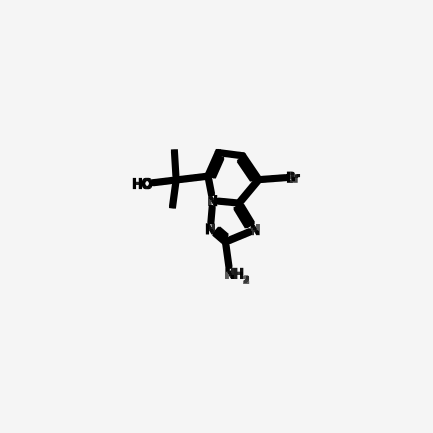 CC(C)(O)c1ccc(Br)c2nc(N)nn12